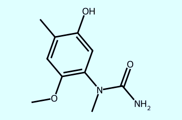 COc1cc(C)c(O)cc1N(C)C(N)=O